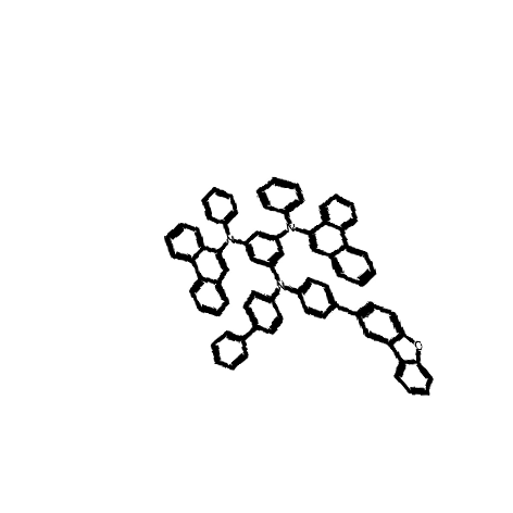 c1ccc(-c2ccc(N(c3ccc(-c4ccc5oc6ccccc6c5c4)cc3)c3cc(N(c4ccccc4)c4cc5ccccc5c5ccccc45)cc(N(c4ccccc4)c4cc5ccccc5c5ccccc45)c3)cc2)cc1